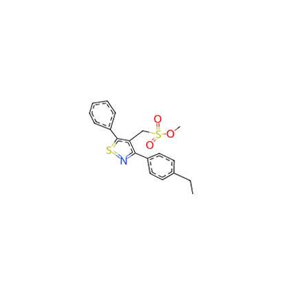 CCc1ccc(-c2nsc(-c3ccccc3)c2CS(=O)(=O)OC)cc1